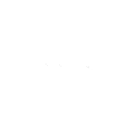 CCC(CN1CCCCC1)Nc1ccc(N)cc1